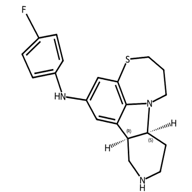 Fc1ccc(Nc2cc3c4c(c2)[C@@H]2CNCC[C@@H]2N4CCCS3)cc1